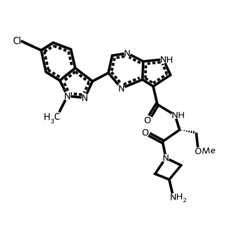 COC[C@@H](NC(=O)c1c[nH]c2ncc(-c3nn(C)c4cc(Cl)ccc34)nc12)C(=O)N1CC(N)C1